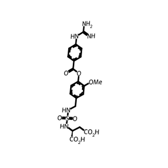 COc1cc(CNS(=O)(=O)N[C@@H](CC(=O)O)C(=O)O)ccc1OC(=O)c1ccc(NC(=N)N)cc1